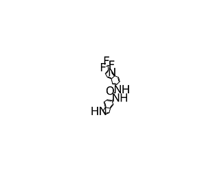 O=C(Nc1ccc2nc(C(F)(F)F)ccc2c1)Nc1ccc2[nH]ccc2c1